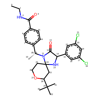 CCNC(=O)c1ccc([C@@H](C)N2C(=O)C(c3cc(Cl)cc(Cl)c3)NC23CCOC(C(C)(C)C)C3)cc1